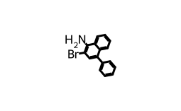 Nc1c(Br)cc(-c2ccccc2)c2ccccc12